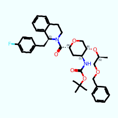 C[C@@H](COCc1ccccc1)O[C@H]1CO[C@@H](C(=O)N2CCc3ccccc3[C@@H]2Cc2ccc(F)cc2)C[C@@H]1NC(=O)OC(C)(C)C